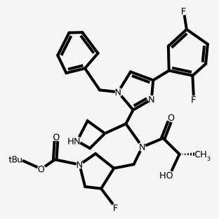 C[C@H](O)C(=O)N(CC1CN(C(=O)OC(C)(C)C)CC1F)C(c1nc(-c2cc(F)ccc2F)cn1Cc1ccccc1)C1CNC1